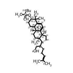 CC(C)=CCC[C@@H](CO)[C@H]1CC[C@H]2C3=CC=C4C(C)(C)[C@@H](O[Si](C)(C)C(C)(C)C)CC[C@]4(C)[C@H]3CC[C@]12C